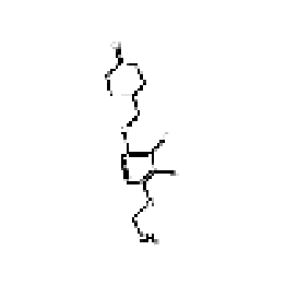 CCOc1ccc(OCC2CCC(=O)CC2)c(F)c1F